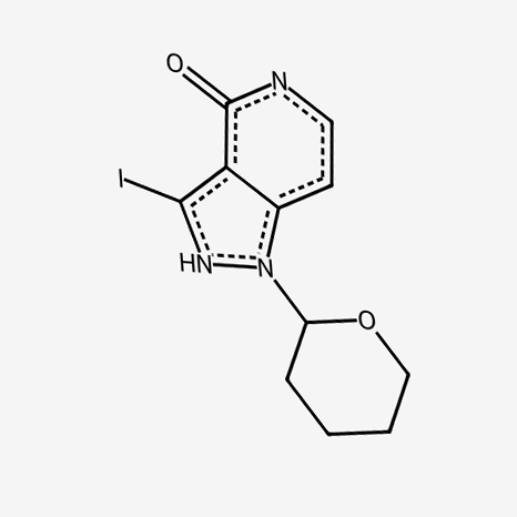 O=c1nccc2n(C3CCCCO3)[nH]c(I)c1-2